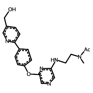 CC(=O)N(C)CCNc1cncc(Oc2ccc(-c3ccc(CO)cn3)cc2)n1